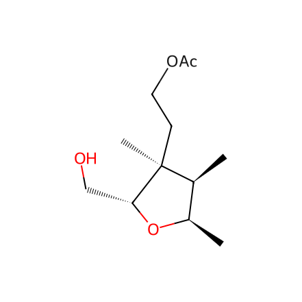 CC(=O)OCC[C@]1(C)[C@@H](CO)O[C@H](C)[C@@H]1C